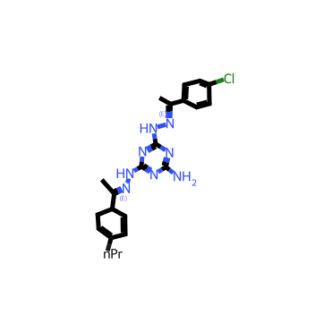 CCCC1=CCC(/C(C)=N/Nc2nc(N)nc(N/N=C(\C)c3ccc(Cl)cc3)n2)C=C1